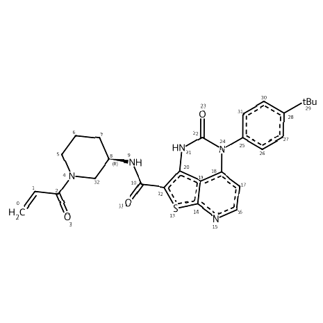 C=CC(=O)N1CCC[C@@H](NC(=O)c2sc3nccc4c3c2NC(=O)N4c2ccc(C(C)(C)C)cc2)C1